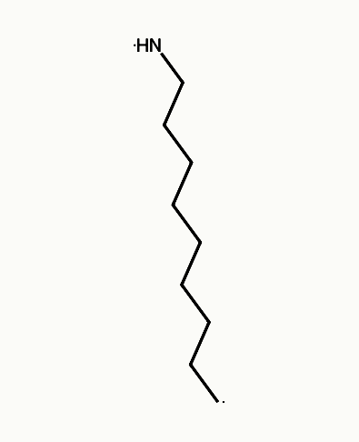 [CH2]CCCCCCCC[NH]